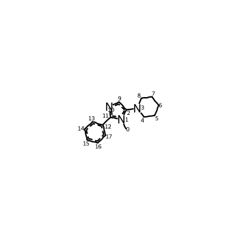 Cn1c(N2CCCCC2)cnc1-c1ccccc1